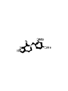 COc1ccc(CN2CCc3c[nH]nc3C2=O)c(OC)c1